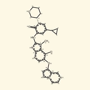 Cn1c(Nc2cc(C3CC3)cn([C@H]3CCCOC3)c2=O)nc2ncc(Oc3cnn4ccncc34)c(Cl)c21